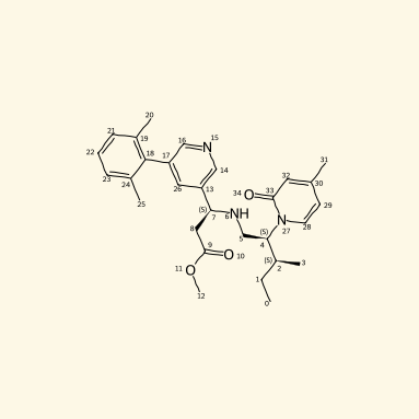 CC[C@H](C)[C@@H](CN[C@@H](CC(=O)OC)c1cncc(-c2c(C)cccc2C)c1)n1ccc(C)cc1=O